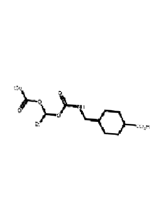 CCC(OC(=O)NCC1CCC(C(=O)O)CC1)OC(=O)C(C)(C)C